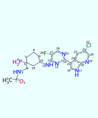 CC(=O)NCC1(P)CCCC(Nc2nc(-c3c[nH]c4ncc(Cl)cc34)ncc2F)C1